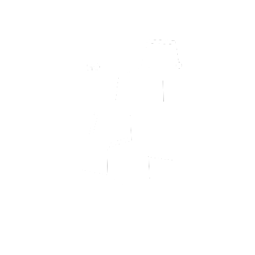 Cc1occc1C(O)c1ccc2c(c1)C(C)(C)CCC2(C)C